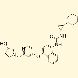 O=C(Nc1ccc(Oc2ccnc(CN3CCC(O)C3)c2)c2ccccc12)NC1CC1C1CCCCC1